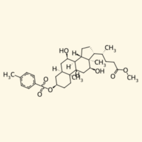 COC(=O)CC[C@@H](C)[C@H]1CC[C@H]2[C@@H]3[C@H](O)C[C@@H]4C[C@H](OS(=O)(=O)c5ccc(C)cc5)CC[C@]4(C)[C@H]3C[C@H](O)[C@]12C